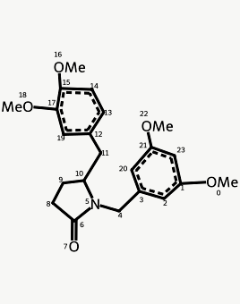 COc1cc(CN2C(=O)CCC2Cc2ccc(OC)c(OC)c2)cc(OC)c1